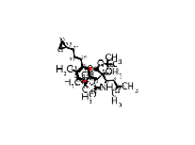 Cc1cnc(C[C@]2(C(CC(C)C)NC(=O)OC(C)(C)C)OC(C)(C)OC2=O)cc1CCCC1CC1